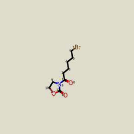 O=C(CCCCCBr)N1CCOC1=O